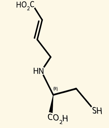 O=C(O)C=CCN[C@@H](CS)C(=O)O